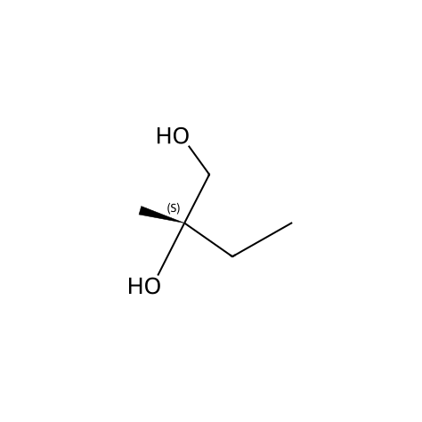 CC[C@](C)(O)CO